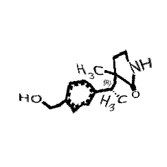 C[C@H](c1ccc(CO)cc1)C1(C)CCNC1=O